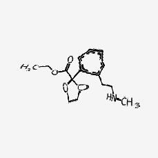 CCOC(=O)C1(c2ccccc2CCNC)OCCO1